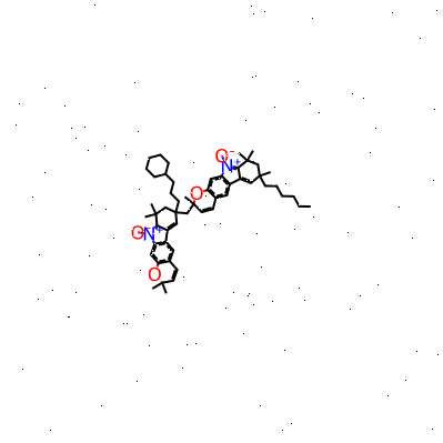 CCCCCCC1(C)C=C2C(=[N+]([O-])c3cc4c(cc32)C=CC(C)(CC2(CCCC3CCCCC3)C=C3C(=[N+]([O-])c5cc6c(cc53)C=CC(C)(C)O6)C(C)(C)C2)O4)C(C)(C)C1